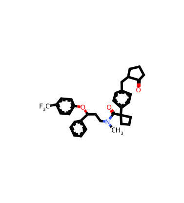 CN(CCC(Oc1ccc(C(F)(F)F)cc1)c1ccccc1)C(=O)C1(c2ccc(CC3CCCC3=O)cc2)CCC1